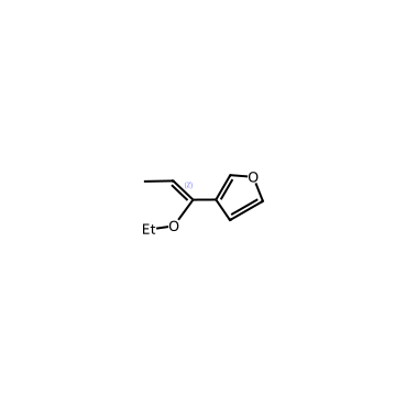 C/C=C(\OCC)c1ccoc1